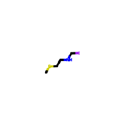 CSCCNCI